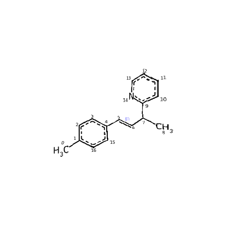 Cc1ccc(/C=C/C(C)c2ccccn2)cc1